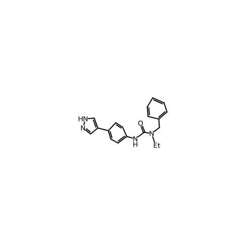 CCN(Cc1ccccc1)C(=O)Nc1ccc(-c2cn[nH]c2)cc1